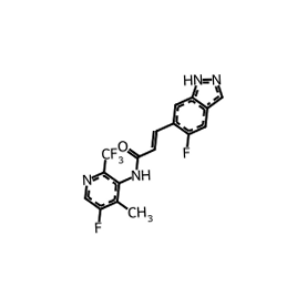 Cc1c(F)cnc(C(F)(F)F)c1NC(=O)/C=C/c1cc2[nH]ncc2cc1F